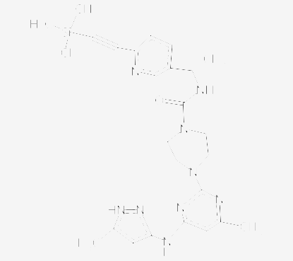 Cc1cc(Nc2cc(C)[nH]n2)nc(N2CCN(C(=O)N[C@@H](C)c3ccc(C#C[Si](C)(C)C)nc3)CC2)n1